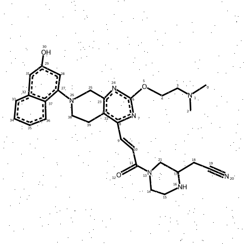 CN(C)CCOc1nc(C=CC(=O)N2CCNC(CC#N)C2)c2c(n1)CN(c1cc(O)cc3ccccc13)CC2